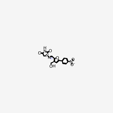 O=C1CN(/N=C/c2oc(-c3ccc([N+](=O)[O-])cc3)cc2CO)C(=O)N1